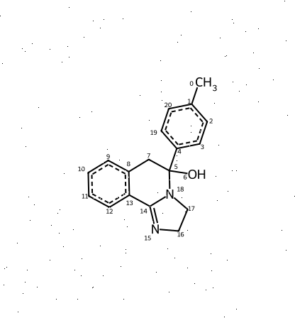 Cc1ccc(C2(O)Cc3ccccc3C3=NCCN32)cc1